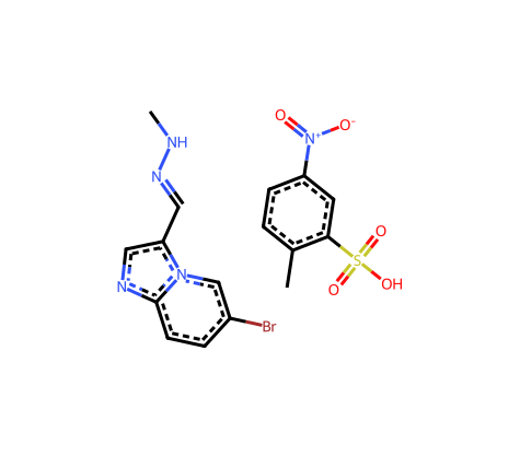 CNN=Cc1cnc2ccc(Br)cn12.Cc1ccc([N+](=O)[O-])cc1S(=O)(=O)O